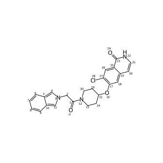 O=C(Cn1cc2ccccc2c1)N1CCC(Oc2cc3cc[nH]c(=O)c3cc2Cl)CC1